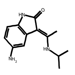 CC(NC(C)C)=C1C(=O)Nc2ccc(N)cc21